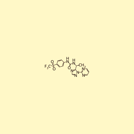 C[C@H](NC(=O)Nc1ccc(S(=O)(=O)C(F)(F)F)cc1)c1ncnn1-c1ncccn1